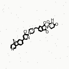 Cn1c2ccncc2c2ccc(-c3cnc(N4CCN(Cc5ccc6c(c5)C(=O)N(N5CCC(=O)NC5=O)C6=O)CC4)c(Cl)c3)cc21